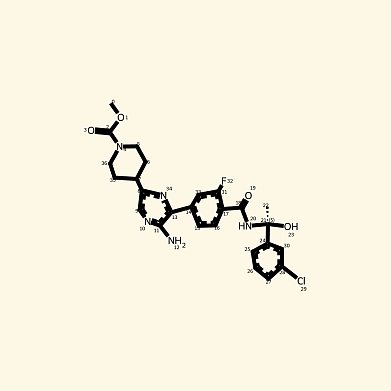 COC(=O)N1CCC(c2cnc(N)c(-c3ccc(C(=O)N[C@@](C)(O)c4cccc(Cl)c4)c(F)c3)n2)CC1